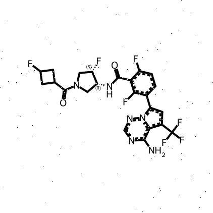 Nc1ncnn2c(-c3ccc(F)c(C(=O)N[C@@H]4CN(C(=O)C5CC(F)C5)C[C@@H]4F)c3F)cc(C(F)(F)F)c12